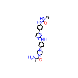 CCNC(=O)Nc1ccc(-c2ccnc(Nc3ccc(N4CCN(C(=O)C(C)N)CC4)cc3)n2)cc1